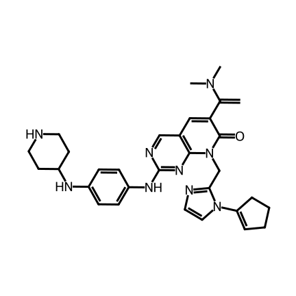 C=C(c1cc2cnc(Nc3ccc(NC4CCNCC4)cc3)nc2n(Cc2nccn2C2=CCCC2)c1=O)N(C)C